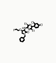 CCc1nc(-c2ccc(Cl)cc2Cl)c(CC)nc1NC1C(=O)N(Cc2ccccc2)CC1OCCF